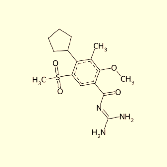 COc1c(C(=O)N=C(N)N)cc(S(C)(=O)=O)c(C2CCCC2)c1C